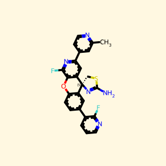 Cc1cc(-c2cc3c(c(F)n2)Oc2ccc(-c4cccnc4F)cc2[C@@]32CSC(N)=N2)ccn1